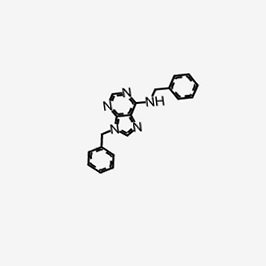 c1ccc(CNc2ncnc3c2ncn3Cc2ccccc2)cc1